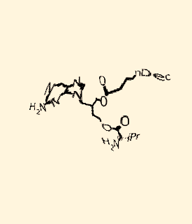 CCCCCCCCCCCCCC(=O)OCC(CCOC(=O)[C@@H](N)C(C)C)Cn1cnc2cnc(N)nc21